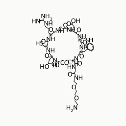 N=C(N)NCCC[C@@H]1NC(=O)[C@H](CS)NC(=O)[C@H](CC(=O)O)NC(=O)CCC[C@@H](C(=O)NCC(=O)NCCOCCOCCN)NC(=O)[C@H](Cc2ccccc2)NC(=O)[C@H](CS)NC(=O)[C@H](CC(=O)O)NC(=O)CNC1=O